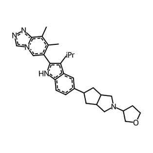 Cc1c(-c2[nH]c3ccc(C4CC5CN(C6CCOC6)CC5C4)cc3c2C(C)C)cn2cnnc2c1C